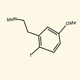 CNCCc1cc(OC)ccc1I